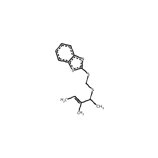 CC=C(C)C(C)SCSc1nc2ccccc2s1